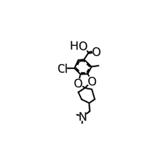 Cc1c(C(=O)O)cc(Cl)c2c1OC1(CCC(CN(C)C)CC1)O2